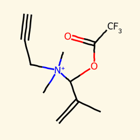 C#CC[N+](C)(C)C(OC(=O)C(F)(F)F)C(=C)C